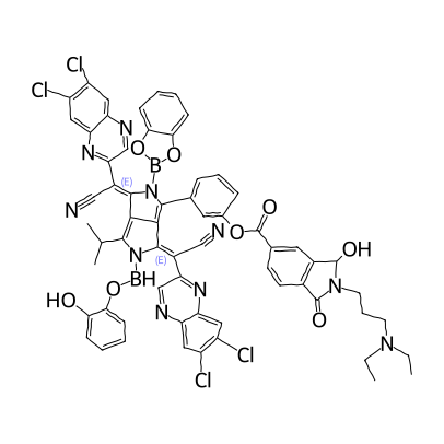 CCN(CC)CCCN1C(=O)c2ccc(C(=O)Oc3cccc(-c4c5/c(=C(\C#N)c6cnc7cc(Cl)c(Cl)cc7n6)n(BOc6ccccc6O)c(C(C)C)c5/c(=C(\C#N)c5cnc6cc(Cl)c(Cl)cc6n5)n4B4Oc5ccccc5O4)c3)cc2C1O